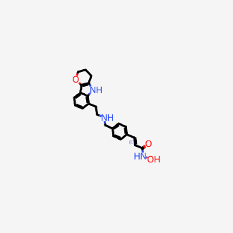 O=C(/C=C/c1ccc(CNCCc2cccc3c4c([nH]c23)CCCO4)cc1)NO